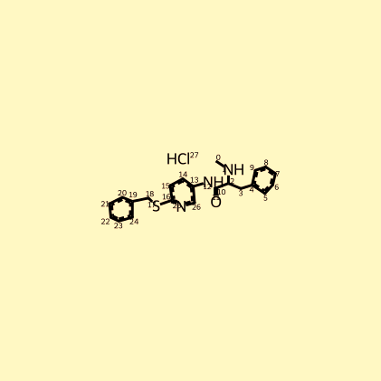 CNC(Cc1ccccc1)C(=O)Nc1ccc(SCc2ccccc2)nc1.Cl